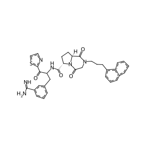 N=C(N)c1cccc(CC(NC(=O)[C@@H]2CC[C@H]3C(=O)N(CCCc4cccc5ccccc45)CC(=O)N23)C(=O)c2nccs2)c1